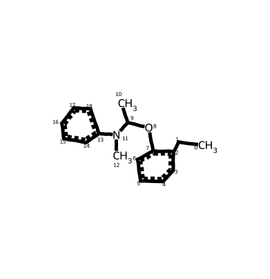 CCc1ccccc1OC(C)N(C)c1ccccc1